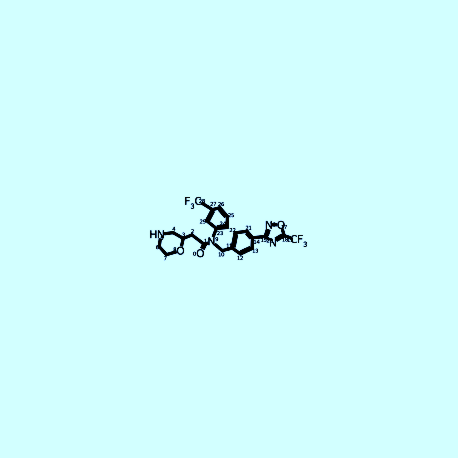 O=C(CC1CNCCO1)N(Cc1ccc(-c2noc(C(F)(F)F)n2)cc1)c1cccc(C(F)(F)F)c1